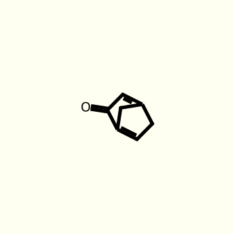 O=C1C=C2CC=C1C2